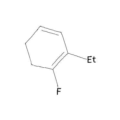 CCC1=C(F)CCC=C1